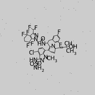 Cn1nc(NS(N)(=O)=O)c2c(Cl)ccc(-c3ccc(C#CC(C)(C)O)nc3C(Cc3cc(F)cc(F)c3)NC(=O)Cn3nc(C(F)F)c4c3C(F)(F)CCC4(F)F)c21